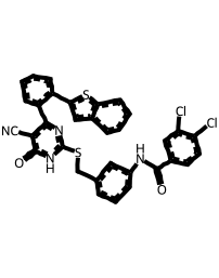 N#Cc1c(-c2ccccc2-c2cc3ccccc3s2)nc(SCc2cccc(NC(=O)c3ccc(Cl)c(Cl)c3)c2)[nH]c1=O